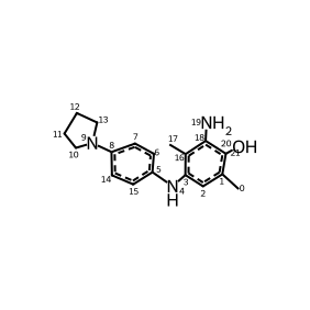 Cc1cc(Nc2ccc(N3CCCC3)cc2)c(C)c(N)c1O